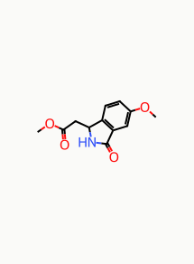 COC(=O)CC1NC(=O)c2cc(OC)ccc21